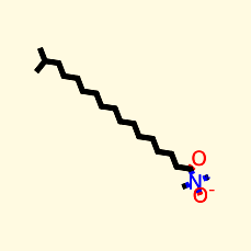 CC(C)CCCCCCCCCCCCCCC(=O)[N+](C)(C)[O-]